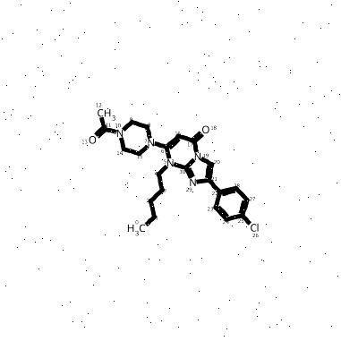 CCCCCn1c(N2CCN(C(C)=O)CC2)cc(=O)n2cc(-c3ccc(Cl)cc3)nc12